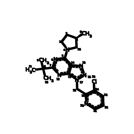 C[C@@H]1CCN(c2nc(C(C)(C)C)nc3c2nnn3Cc2ncccc2Cl)C1